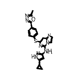 Cc1nnc(-c2ccc(Sc3cc4nccn4c(Nc4cc(C5CC5)[nH]n4)n3)cc2)o1